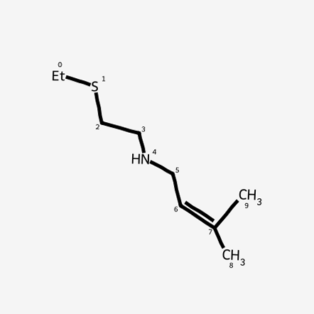 CCSCCNCC=C(C)C